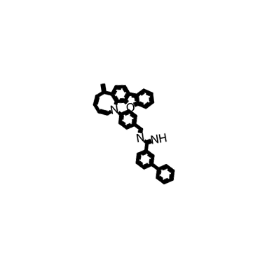 C=C1/C=C\C=C/N(c2ccc(/C=N/C(=N)c3cccc(-c4ccccc4)c3)cc2)c2c1ccc1c2oc2ccccc21